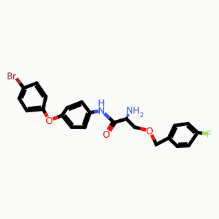 N[C@@H](COCc1ccc(F)cc1)C(=O)Nc1ccc(Oc2ccc(Br)cc2)cc1